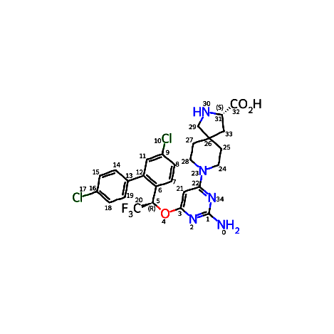 Nc1nc(O[C@H](c2ccc(Cl)cc2-c2ccc(Cl)cc2)C(F)(F)F)cc(N2CCC3(CC2)CN[C@H](C(=O)O)C3)n1